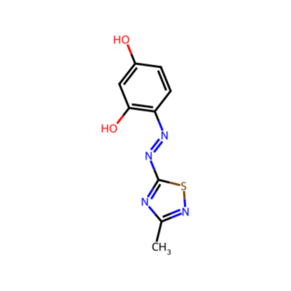 Cc1nsc(/N=N/c2ccc(O)cc2O)n1